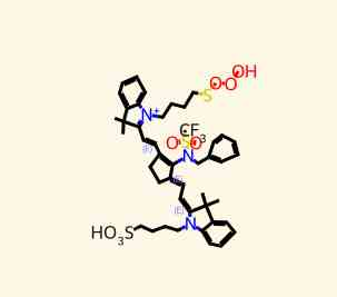 CC1(C)C(/C=C/C2=C(N(Cc3ccccc3)S(=O)(=O)C(F)(F)F)C(=C/C=C3/N(CCCCS(=O)(=O)O)c4ccccc4C3(C)C)/CC2)=[N+](CCCCSOOO)c2ccccc21